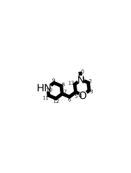 CN1CCOC(CC2CCNCC2)C1